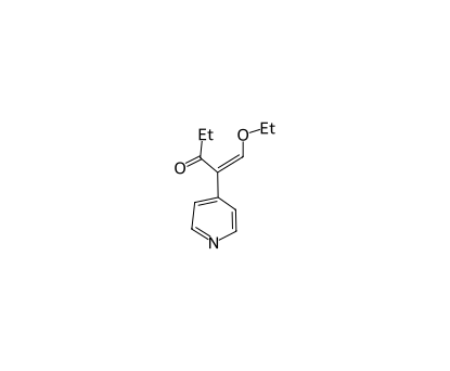 CCOC=C(C(=O)CC)c1ccncc1